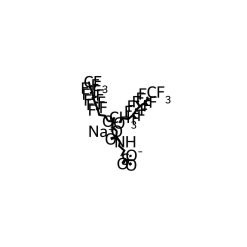 CC(COC(=O)NCCCS(=O)(=O)[O-])(OCCC(F)(F)C(F)(F)C(F)(F)C(F)(F)C(F)(F)C(F)(F)F)OCCC(F)(F)C(F)(F)C(F)(F)C(F)(F)C(F)(F)C(F)(F)F.[Na+]